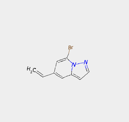 C=Cc1cc(Br)n2nccc2c1